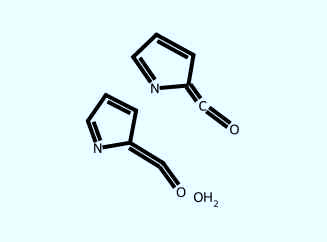 O.O=C=C1C=CC=N1.O=C=C1C=CC=N1